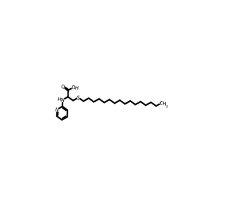 CCCCCCCCCCCCCCCCSCC(Nc1ccccn1)C(=O)O